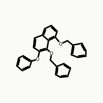 c1ccc(COc2cccc3ccc(Oc4ccccc4)c(OCc4ccccc4)c23)cc1